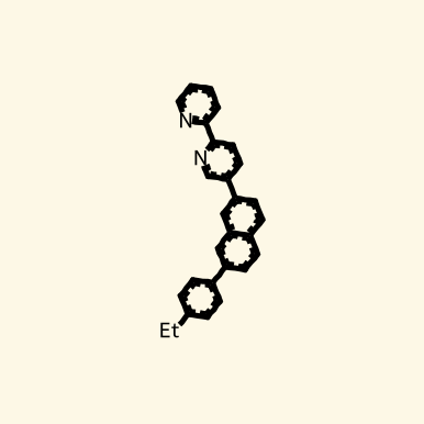 CCc1ccc(-c2ccc3ccc(-c4ccc(-c5ccccn5)nc4)cc3c2)cc1